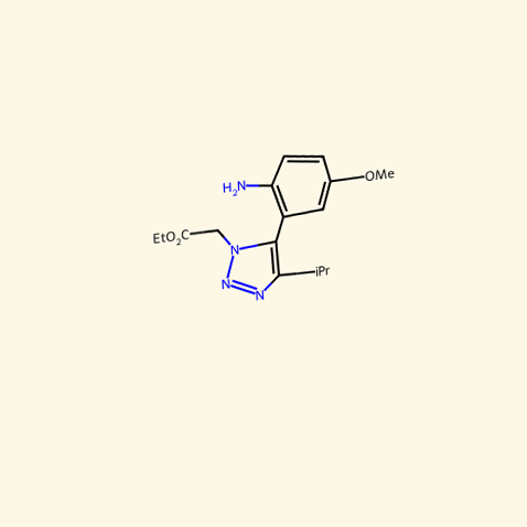 CCOC(=O)Cn1nnc(C(C)C)c1-c1cc(OC)ccc1N